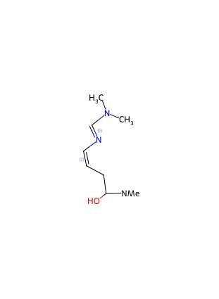 CNC(O)C/C=C\N=C\N(C)C